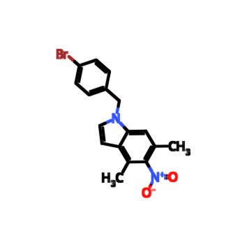 Cc1cc2c(ccn2Cc2ccc(Br)cc2)c(C)c1[N+](=O)[O-]